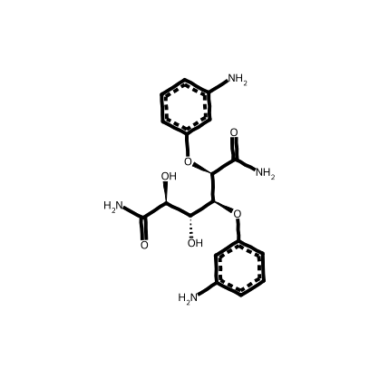 NC(=O)[C@@H](O)[C@@H](O)[C@H](Oc1cccc(N)c1)[C@@H](Oc1cccc(N)c1)C(N)=O